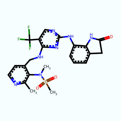 Cc1nccc(CNc2nc(Nc3cccc4c3NC(=O)C4)ncc2C(F)(F)F)c1N(C)S(C)(=O)=O